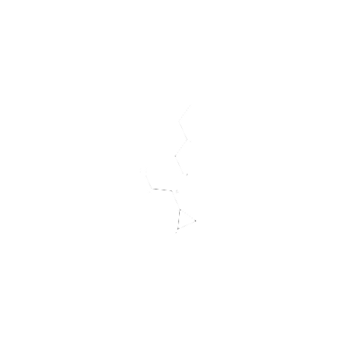 CCCCC[C@@H](CO)C1CC1